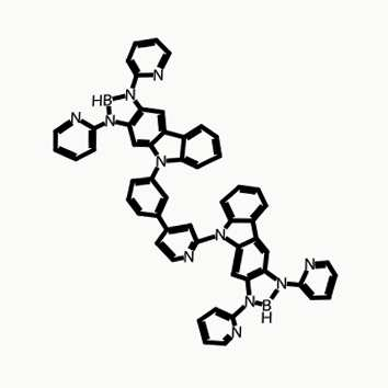 B1N(c2ccccn2)c2cc3c4ccccc4n(-c4cccc(-c5ccnc(-n6c7ccccc7c7cc8c(cc76)N(c6ccccn6)BN8c6ccccn6)c5)c4)c3cc2N1c1ccccn1